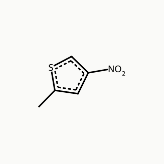 Cc1cc([N+](=O)[O-])cs1